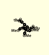 COc1ccc(CN(Cc2ccc(OC)cc2)S(=O)(=O)c2c(SC3CN(C(=O)OC(C)(C)C)C3)ccc(-c3ccc(C4CCN(C(=O)OC(C)(C)C)CC4)cc3)c2-c2nnn(Cc3ccc(OC)cc3)n2)cc1